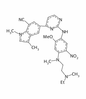 CCN(C)CCN(C)c1cc(OC)c(Nc2nccc(-c3cc(C#N)c4c(c3)c(C)cn4C)n2)cc1[N+](=O)[O-]